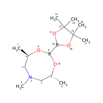 C[C@@H]1CN(C)C[C@@H](C)OB(B2OC(C)(C)C(C)(C)O2)O1